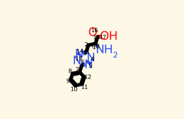 N[C@@H](Cc1nnc(-c2ccccc2)nn1)C(=O)O